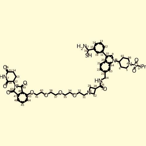 CC(C)S(=O)(=O)N1CCC(n2cc(-c3cccc(C(N)S)c3)c3ccc(CNC(=O)C4CN(CCOCCOCCOCCOc5cccc6c5C(=O)N(C5CCC(=O)NC5=O)C6=O)C4)cc32)CC1